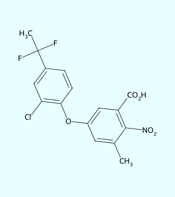 Cc1cc(Oc2ccc(C(C)(F)F)cc2Cl)cc(C(=O)O)c1[N+](=O)[O-]